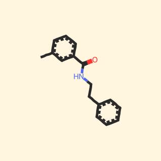 Cc1cccc(C(=O)NCCc2ccccc2)c1